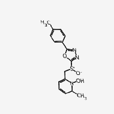 Cc1ccc(-c2nnc([S+]([O-])CC3=CC=CC(C)N3O)o2)cc1